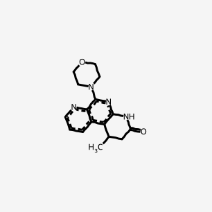 CC1CC(=O)Nc2nc(N3CCOCC3)c3ncccc3c21